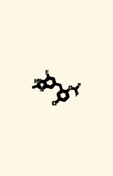 Cc1nc2cc(Cc3cc(Cl)ccc3OC(F)F)cc(F)c2[nH]1